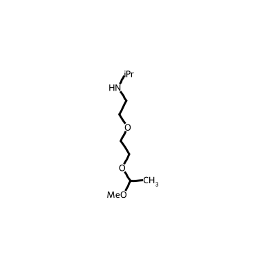 COC(C)OCCOCCNC(C)C